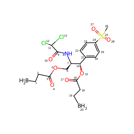 BCCC(=O)OC[C@@H](NC(=O)C(Cl)Cl)[C@H](OC(=O)CCB)c1ccc(S(C)(=O)=O)cc1